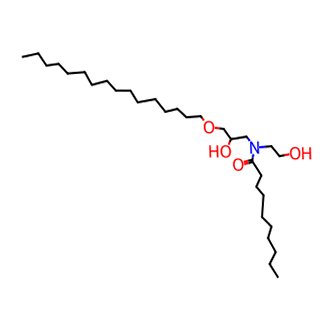 CCCCCCCCCCCCCCCCOCC(O)CN(CCO)C(=O)CCCCCCCCC